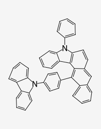 c1ccc(-n2c3ccccc3c3c4c(-c5ccc(-n6c7ccccc7c7ccccc76)cc5)c5ccccc5cc4ccc32)cc1